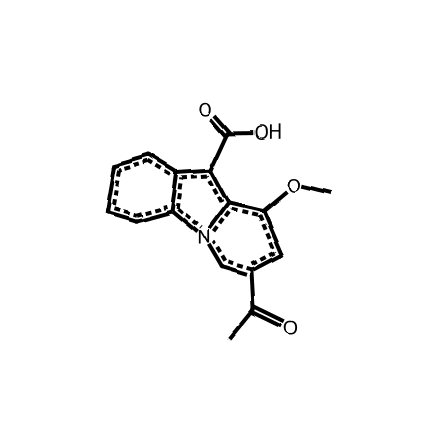 COc1cc(C(C)=O)cn2c1c(C(=O)O)c1ccccc12